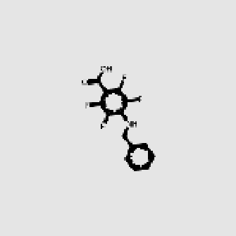 O=C(O)c1c(F)c(F)c(NCc2ccccc2)c(F)c1F